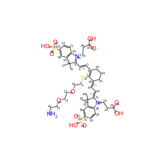 CC1(C)C(/C=C/C2=C(SCCOCCOCCN)C(=C/C=C3/N(CCC(=O)O)c4ccc(S(=O)(=O)O)cc4C3(C)C)/CCC2)=[N+](CCC(=O)O)c2ccc(S(=O)(=O)O)cc21